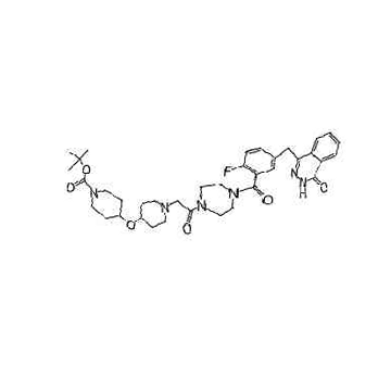 CC(C)(C)OC(=O)N1CCC(OC2CCN(CC(=O)N3CCN(C(=O)c4cc(Cc5n[nH]c(=O)c6ccccc56)ccc4F)CC3)CC2)CC1